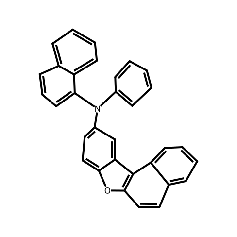 c1ccc(N(c2ccc3oc4ccc5ccccc5c4c3c2)c2cccc3ccccc23)cc1